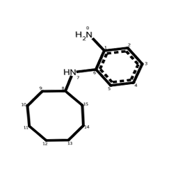 Nc1ccccc1NC1CCCCCCC1